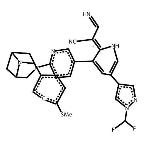 CSc1ccc(CN2C3CC2CN(c2ccc(C4=CC(c5cnn(C(F)F)c5)=CN/C4=C(/C#N)C=N)cn2)C3)cc1